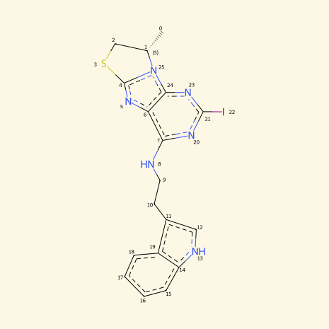 C[C@H]1CSc2nc3c(NCCc4c[nH]c5ccccc45)nc(I)nc3n21